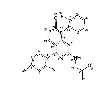 Cc1cc(F)ccc1-c1nc(NC[C@H](C)O)nc2c1ccc(=O)n2-c1ccccc1F